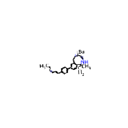 C=C/C=C\C=Cc1ccc(-c2ccc3c(c2)C/C=C(C(C)(C)C)\C=C/NC3(C)C)cc1